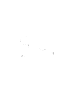 CCC(C(C)N=C=N)N1CCCC1